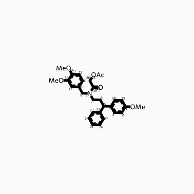 COc1ccc(C(CCN(Cc2ccc(OC)c(OC)c2)C(=O)COC(C)=O)c2ccccc2)cc1